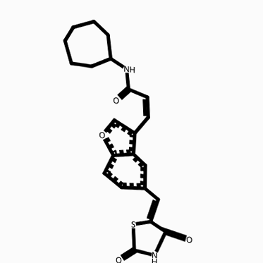 O=C(/C=C\c1coc2ccc(/C=C3\SC(=O)NC3=O)cc12)NC1CCCCCC1